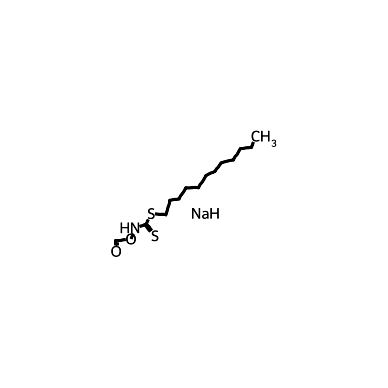 CCCCCCCCCCCCSC(=S)NOC=O.[NaH]